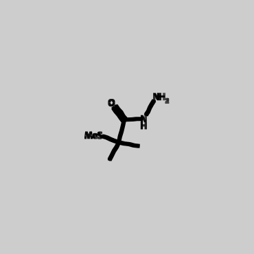 CSC(C)(C)C(=O)NN